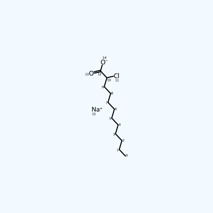 CCCCCCCCCCC(Cl)C(=O)[O-].[Na+]